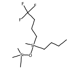 CCCC[Si](C)(CCCC(F)(F)F)O[Si](C)(C)C